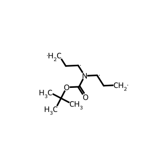 [CH2]C[CH]N([CH]C[CH2])C(=O)OC(C)(C)C